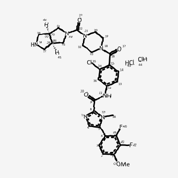 COc1ccc(-c2cnc(C(=O)Nc3ccc(C(=O)N4CCN(C(=O)N5C[C@H]6CNC[C@H]6C5)CC4)c(Cl)c3)n2C)c(F)c1F.Cl.Cl